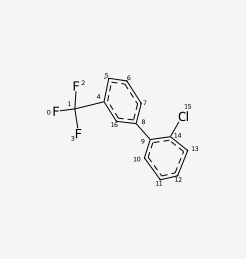 FC(F)(F)c1[c]ccc(-c2ccccc2Cl)c1